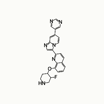 FC1CNCCC1Oc1cccc2ccc(-c3cnc4cc(-c5cncnc5)ccn34)nc12